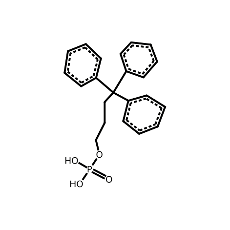 O=P(O)(O)OCCCC(c1ccccc1)(c1ccccc1)c1ccccc1